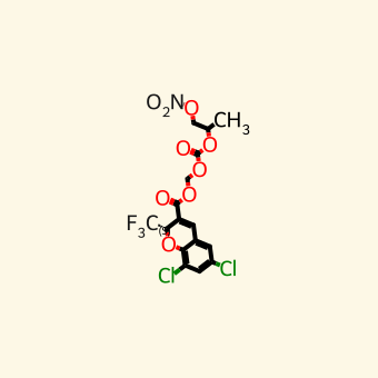 CC(CO[N+](=O)[O-])OC(=O)OCOC(=O)C1=Cc2cc(Cl)cc(Cl)c2O[C@@H]1C(F)(F)F